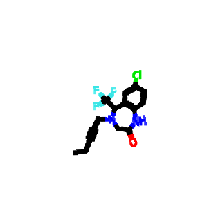 CCC#CCN1CC(=O)Nc2ccc(Cl)cc2C1C(F)(F)F